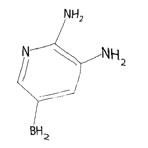 Bc1cnc(N)c(N)c1